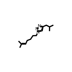 CC(C)=CCCCCn1cc(CC(C)C)nn1